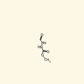 COC(=O)NNC=O